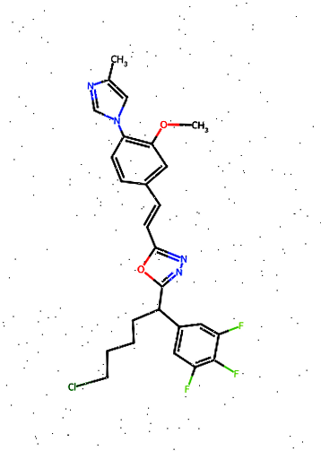 COc1cc(C=Cc2nnc(C(CCCCCl)c3cc(F)c(F)c(F)c3)o2)ccc1-n1cnc(C)c1